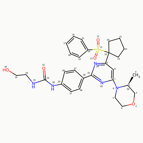 C[C@H]1COCCN1c1cc(C2(S(=O)(=O)c3ccccc3)CCCC2)nc(-c2ccc(NC(=O)NCCO)cc2)n1